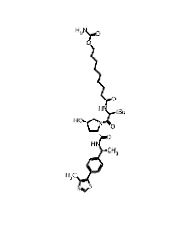 Cc1ncsc1-c1ccc([C@H](C)NC(=O)[C@@H]2C[C@@H](O)CN2C(=O)C(NC(=O)CCCCCCCCOC(N)=O)C(C)(C)C)cc1